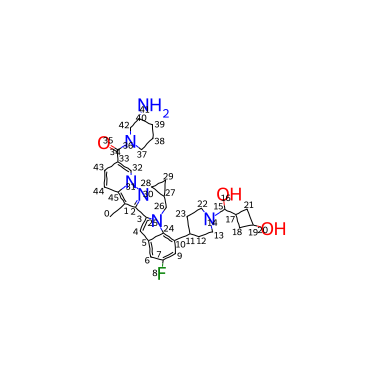 Cc1c(-c2cc3cc(F)cc(C4CCN(C(O)C5CC(O)C5)CC4)c3n2CC2CC2)nn2cc(C(=O)N3CCC[C@@H](N)C3)ccc12